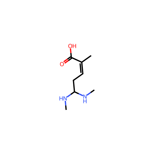 CNC(CC=C(C)C(=O)O)NC